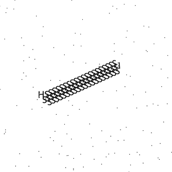 S=S(=S)(S)S(=S)(=S)S(=S)(=S)S(=S)(=S)S(=S)(=S)S(=S)(=S)S(=S)(=S)S(=S)(=S)S(=S)(=S)S(=S)(=S)S(=S)(=S)S(=S)(=S)S(=S)(=S)S(=S)(=S)S(=S)(=S)S(=S)(=S)S(=S)(=S)S(=S)(=S)S(=S)(=S)S(=S)(=S)I